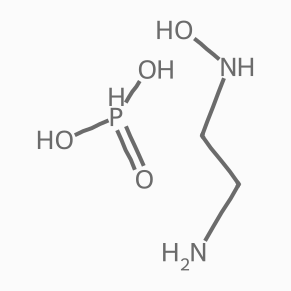 NCCNO.O=[PH](O)O